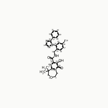 CC1(C)COCCn2c1nc(C(=O)NCc1ccc(F)cc1-n1ncnc1-c1ccccc1)c(O)c2=O